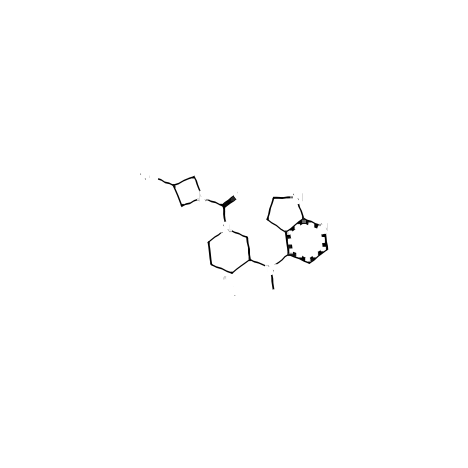 C[C@@H]1CCN(C(=O)N2CC(C#N)C2)CC1N(C)c1ccnc2c1CCN2